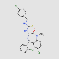 CN1C(=O)C(NC(=S)NCc2ccc(Cl)cc2)N=C(c2ccccc2Cl)c2cc(Cl)ccc21